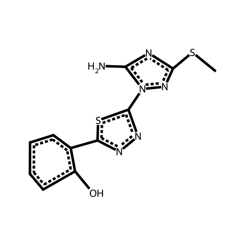 CSc1nc(N)n(-c2nnc(-c3ccccc3O)s2)n1